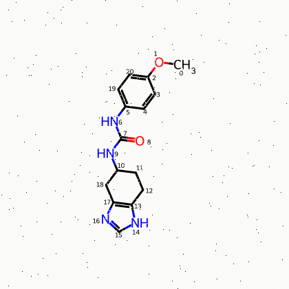 COc1ccc(NC(=O)NC2CCc3[nH]cnc3C2)cc1